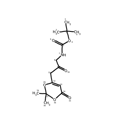 CC(C)(C)OC(=O)NCC(=O)CC1=CC(=O)OC(C)(C)O1